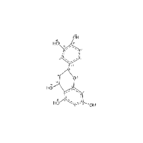 Oc1cc(O)c2c(c1)OC(c1ccc(O)c(O)c1)CC2O